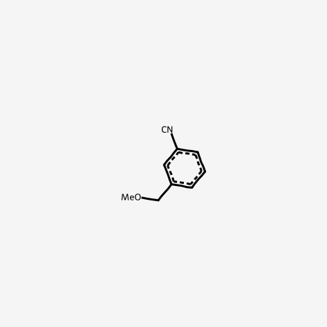 [C-]#[N+]c1cccc(COC)c1